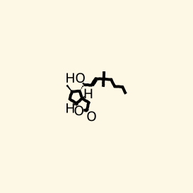 CCCCC(C)(C)/C=C/[C@H](O)[C@@H]1[C@H]2CC(=O)O[C@H]2C[C@H]1C